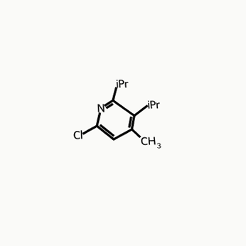 Cc1cc(Cl)nc(C(C)C)c1C(C)C